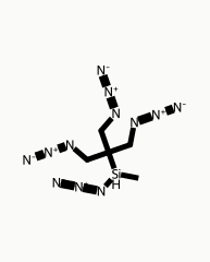 C[SiH](N=[N+]=[N-])C(CN=[N+]=[N-])(CN=[N+]=[N-])CN=[N+]=[N-]